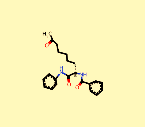 CC(=O)CCCCC[C@H](NC(=O)c1ccccc1)C(=O)Nc1ccccc1